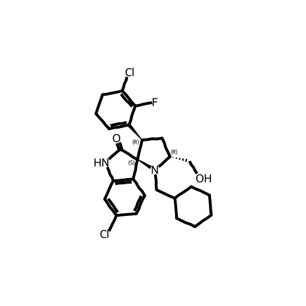 O=C1Nc2cc(Cl)ccc2[C@@]12[C@@H](C1=CCCC(Cl)=C1F)C[C@H](CO)N2CC1CCCCC1